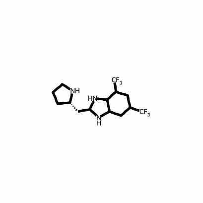 FC(F)(F)C1CC2NC(C[C@@H]3CCCN3)NC2C(C(F)(F)F)C1